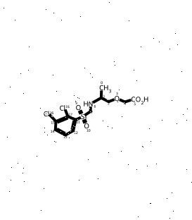 CC(COCC(=O)O)NCS(=O)(=O)c1cccc(Cl)c1Cl